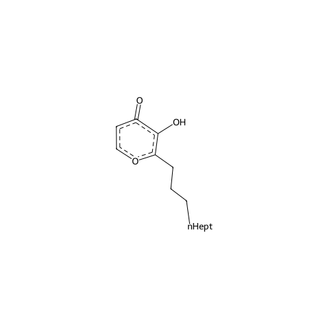 CCCCCCCCCCc1occc(=O)c1O